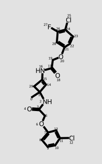 CC1(NC(=O)COc2cccc(Cl)c2)C=C(NC(=O)COc2ccc(Cl)c(F)c2)C1